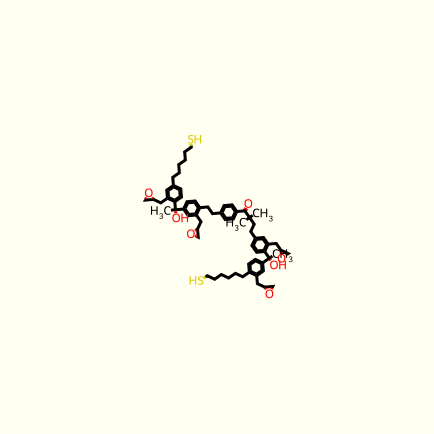 CC(C)(CCc1ccc(C(C)(O)c2ccc(CCCCCCS)c(CC3CO3)c2)c(CC2CO2)c1)C(=O)c1ccc(CCc2ccc(C(C)(O)c3ccc(CCCCCCS)cc3CC3CO3)cc2CC2CO2)cc1